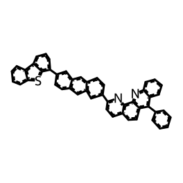 c1ccc(-c2c3ccccc3nc3c2ccc2ccc(-c4ccc5cc6cc(-c7cccc8c7sc7ccccc78)ccc6cc5c4)nc23)cc1